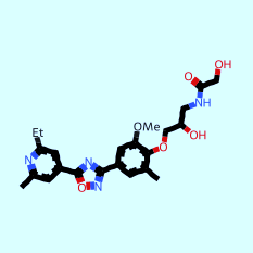 CCc1cc(-c2nc(-c3cc(C)c(OCC(O)CNC(=O)CO)c(OC)c3)no2)cc(C)n1